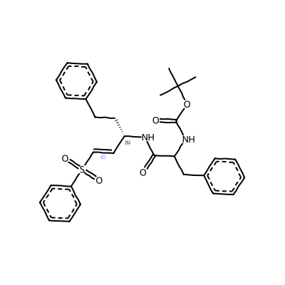 CC(C)(C)OC(=O)NC(Cc1ccccc1)C(=O)N[C@H](/C=C/S(=O)(=O)c1ccccc1)CCc1ccccc1